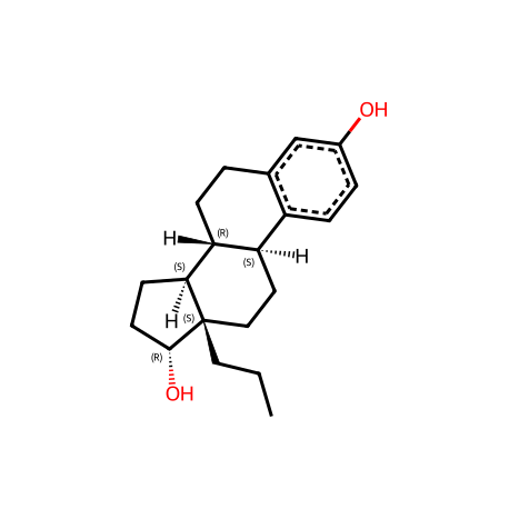 CCC[C@]12CC[C@@H]3c4ccc(O)cc4CC[C@H]3[C@@H]1CC[C@H]2O